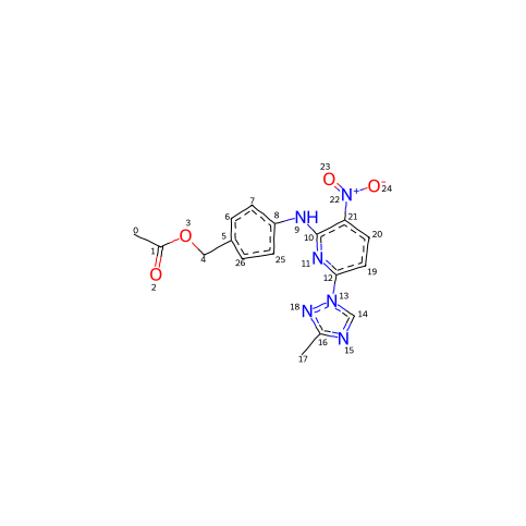 CC(=O)OCc1ccc(Nc2nc(-n3cnc(C)n3)ccc2[N+](=O)[O-])cc1